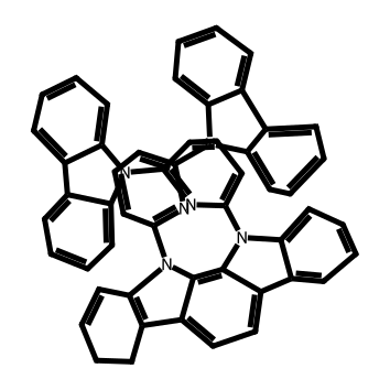 C1=Cc2c(c3ccc4c5ccccc5n(-c5cccc(-n6c7ccccc7c7ccccc76)n5)c4c3n2-c2cccc(-n3c4ccccc4c4ccccc43)n2)CC1